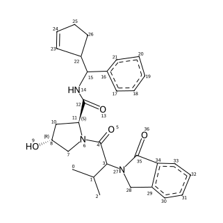 CC(C)C(C(=O)N1C[C@H](O)C[C@H]1C(=O)NC(c1ccccc1)C1C=CCC1)N1Cc2ccccc2C1=O